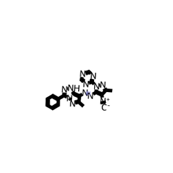 [C-]#[N+]c1c(C)nn(-c2ncncn2)c1/N=N/c1c(C)nn2c(-c3ccccc3)n[nH]c12